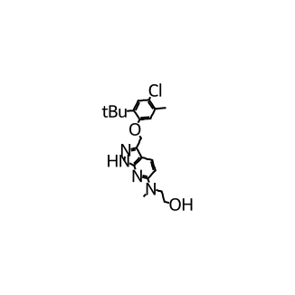 Cc1cc(OCc2n[nH]c3nc(N(C)CCO)ccc23)c(C(C)(C)C)cc1Cl